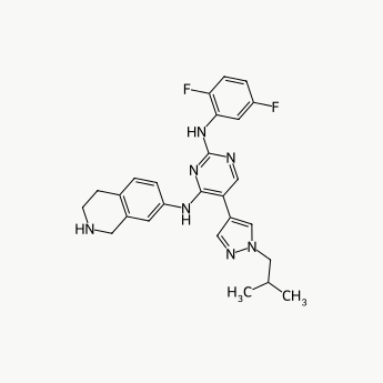 CC(C)Cn1cc(-c2cnc(Nc3cc(F)ccc3F)nc2Nc2ccc3c(c2)CNCC3)cn1